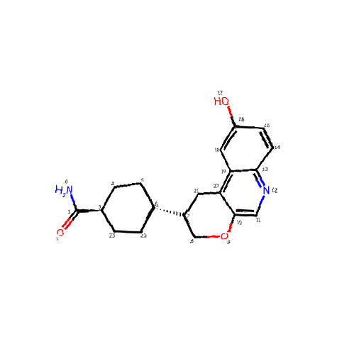 NC(=O)[C@H]1CC[C@H](C2COc3cnc4ccc(O)cc4c3C2)CC1